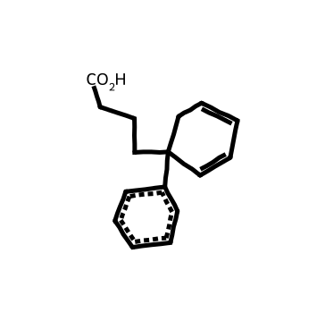 O=C(O)CCCC1(c2ccccc2)C=CC=CC1